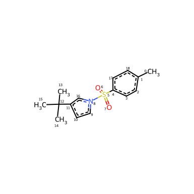 Cc1ccc(S(=O)(=O)n2ccc(C(C)(C)C)c2)cc1